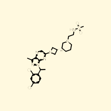 Cc1nn(C(C)c2ccc(Cl)cc2Cl)c2nc(N3CC([C@H]4CCCN(CCNS(C)(=O)=O)C4)C3)cnc12